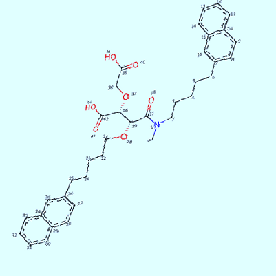 CN(CCCCCc1ccc2ccccc2c1)C(=O)[C@H](OCCCCCc1ccc2ccccc2c1)[C@@H](OCC(=O)O)C(=O)O